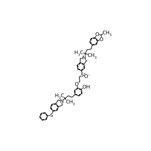 CC1Oc2ccc(CCC(C)(C)N3Cc4ccc([S+]([O-])CCOc5cc(CCC(C)(C)N6Cc7ccc(Sc8ccccc8)cc7C6)ccc5O)cc4C3)cc2O1